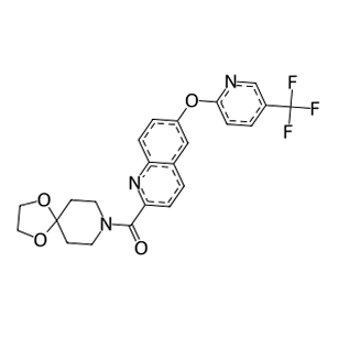 O=C(c1ccc2cc(Oc3ccc(C(F)(F)F)cn3)ccc2n1)N1CCC2(CC1)OCCO2